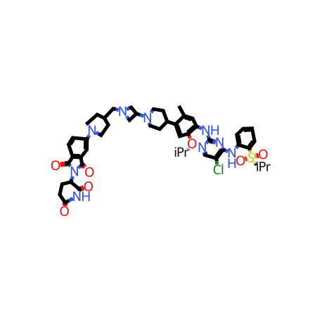 Cc1cc(Nc2ncc(Cl)c(Nc3ccccc3S(=O)(=O)C(C)C)n2)c(OC(C)C)cc1C1CCN(C2CN(CC3CCN(c4ccc5c(c4)C(=O)N(C4CCC(=O)NC4=O)C5=O)CC3)C2)CC1